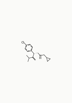 C=C(C(C)C)[C@@H](CNCC1CC1)c1ccc(Cl)cc1